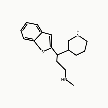 CNCCC(c1cc2ccccc2s1)C1CCCNC1